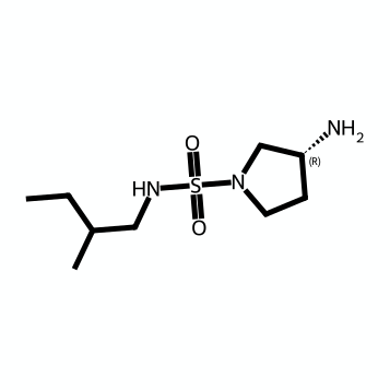 CCC(C)CNS(=O)(=O)N1CC[C@@H](N)C1